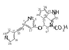 CC(COc1cncc(C#Cc2ccncc2)c1)N(C(=O)O)c1c[nH]c2ccccc12